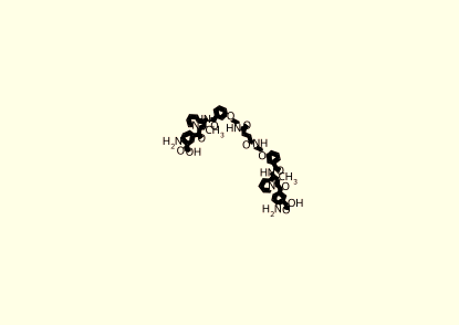 Cc1c(NC(=O)c2cccc(OCCNC(=O)CCC(=O)NCCOc3cccc(C(=O)Nc4c(C)c(C(=O)c5ccc(N)c(C(=O)O)c5)n5ccccc45)c3)c2)c2ccccn2c1C(=O)c1ccc(N)c(C(=O)O)c1